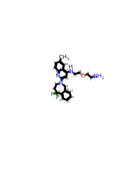 Cc1ccc2nc(N3CCC(F)(F)c4ccccc4C3)cc(NCCOCCN)c2c1